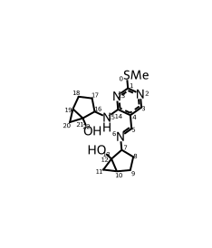 CSc1ncc(/C=N/C2CCC3CC32O)c(NC2CCC3CC32O)n1